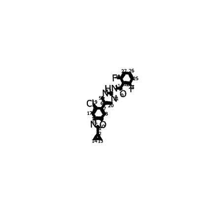 O=C(Nc1ncc(-c2cc3oc(C4CC4)nc3cc2Cl)cn1)c1c(F)cccc1F